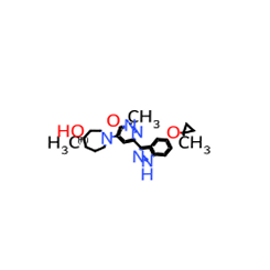 Cn1nc(-c2n[nH]c3ccc(OC4(C)CC4)cc23)cc(N2CCC[C@@](C)(O)CC2)c1=O